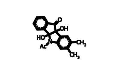 CC(=O)N1c2cc(C)c(C)cc2C2(O)C(=O)c3ccccc3C12O